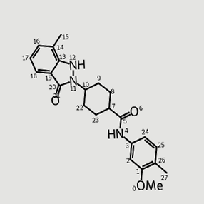 COc1cc(NC(=O)C2CCC(n3[nH]c4c(C)cccc4c3=O)CC2)ccc1C